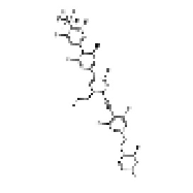 CCCc1cc(-c2cc(F)c(-c3cc(F)c(S(F)(F)(F)(F)F)c(F)c3)c(F)c2)c(F)cc1C#Cc1c(F)cc(CCc2ccc(C)cc2F)cc1F